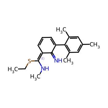 CCS/C(NC)=C1\C=CC=C(c2c(C)cc(C)cc2C)C1=N